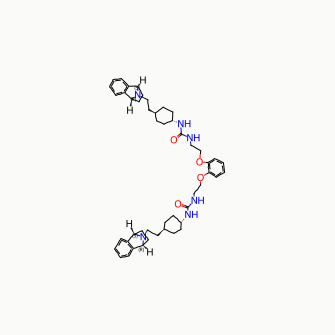 O=C(NCCOc1ccccc1OCCNC(=O)N[C@H]1CC[C@H](CCN2[C@@H]3CC[C@H]2c2ccccc23)CC1)N[C@H]1CC[C@H](CCN2[C@@H]3CC[C@H]2c2ccccc23)CC1